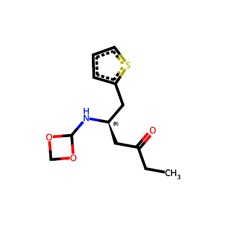 CCC(=O)C[C@H](Cc1cccs1)NC1OCO1